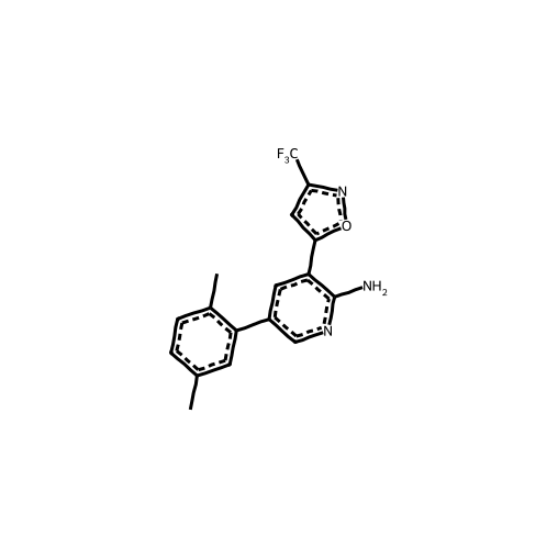 Cc1ccc(C)c(-c2cnc(N)c(-c3cc(C(F)(F)F)no3)c2)c1